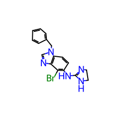 Brc1c(NC2=NCCN2)ccc2c1ncn2Cc1ccccc1